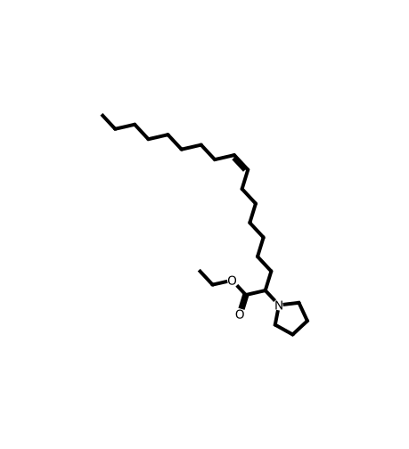 CCCCCCCC/C=C\CCCCCCC(C(=O)OCC)N1CCCC1